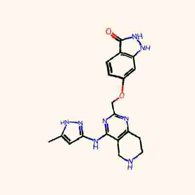 Cc1cc(Nc2nc(COc3ccc4c(=O)[nH][nH]c4c3)nc3c2CNCC3)n[nH]1